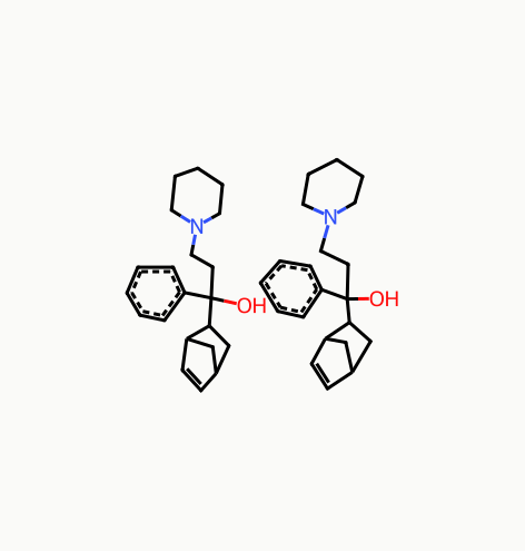 OC(CCN1CCCCC1)(c1ccccc1)C1CC2C=CC1C2.OC(CCN1CCCCC1)(c1ccccc1)C1CC2C=CC1C2